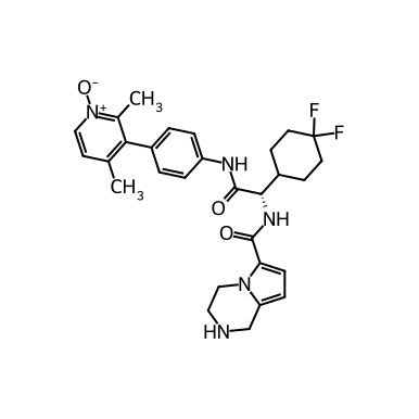 Cc1cc[n+]([O-])c(C)c1-c1ccc(NC(=O)[C@@H](NC(=O)c2ccc3n2CCNC3)C2CCC(F)(F)CC2)cc1